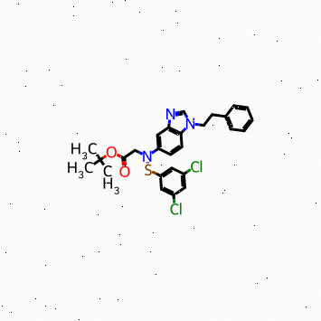 CC(C)(C)OC(=O)CN(Sc1cc(Cl)cc(Cl)c1)c1ccc2c(c1)ncn2CCc1ccccc1